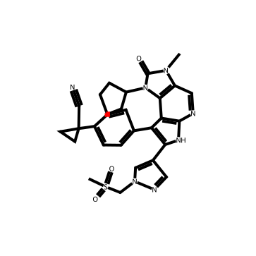 Cn1c(=O)n(C2CCCC2)c2c3c(-c4ccc(C5(C#N)CC5)cc4)c(-c4cnn(CS(C)(=O)=O)c4)[nH]c3ncc21